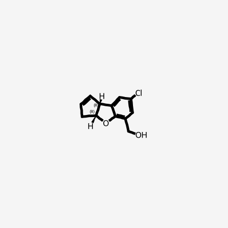 OCc1cc(Cl)cc2c1O[C@@H]1CC=C[C@H]21